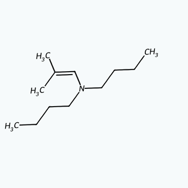 CCCCN(C=C(C)C)CCCC